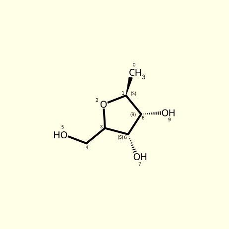 C[C@@H]1OC(CO)[C@@H](O)[C@H]1O